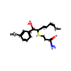 CCCCCCCCC/C=C\C=C\C(SCCC(N)=O)C(O)c1cccc(C(=O)O)c1